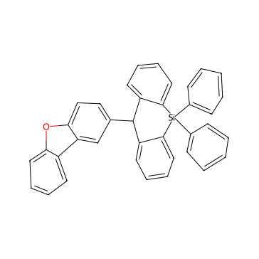 c1ccc([Si]2(c3ccccc3)c3ccccc3C(c3ccc4oc5ccccc5c4c3)c3ccccc32)cc1